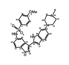 COc1ccc(S(=O)(=O)Nc2ccc3[nH]nc(-c4nc5ccc(N6CCN(C)CC6)cc5[nH]4)c3c2)cc1